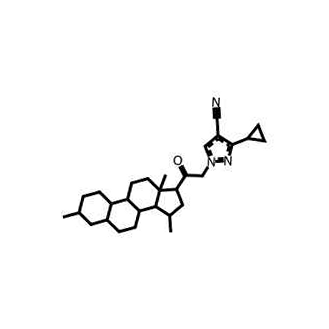 CC1CCC2C(CCC3C2CCC2(C)C(C(=O)Cn4cc(C#N)c(C5CC5)n4)CC(C)C32)C1